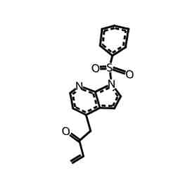 C=CC(=O)Cc1ccnc2c1ccn2S(=O)(=O)c1ccccc1